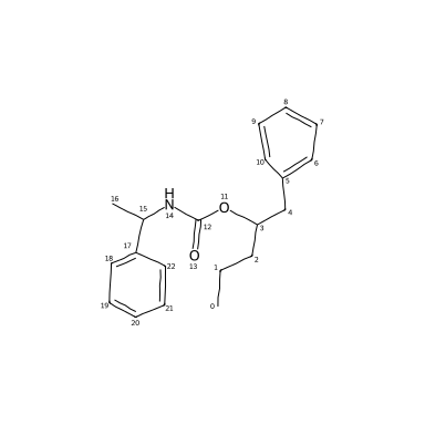 CCCC(Cc1ccccc1)OC(=O)NC(C)c1ccccc1